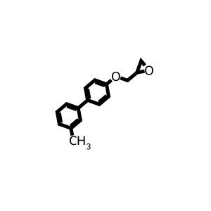 Cc1cccc(-c2ccc(OCC3CO3)cc2)c1